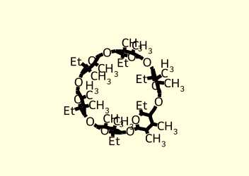 CCC1OC2OC3C(CC)OC(OC4C(CC)OC(OC5C(CC)OC(OC6C(CC)OC(OC7C(CC)OC(OC1C(C)C2C)C(C)C7C)C(C)C6C)C(C)C5C)C(C)C4C)C(C)C3C